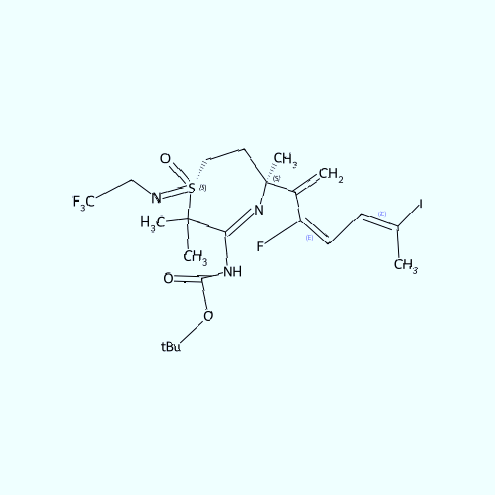 C=C(/C(F)=C\C=C(/C)I)[C@]1(C)CC[S@@](=O)(=NCC(F)(F)F)C(C)(C)C(NC(=O)OC(C)(C)C)=N1